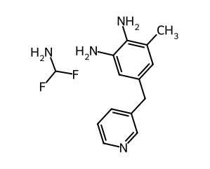 Cc1cc(Cc2cccnc2)cc(N)c1N.NC(F)F